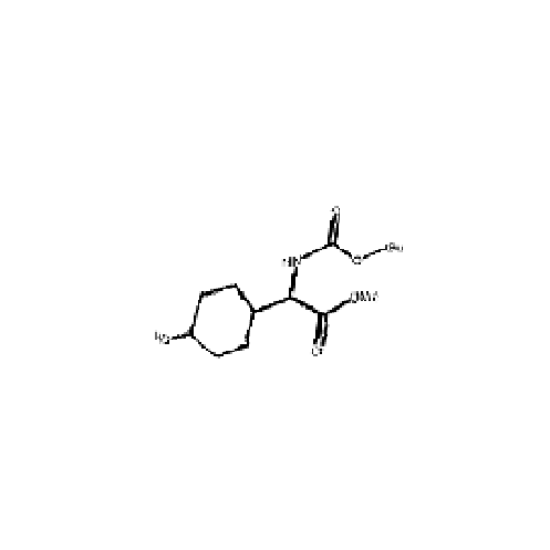 COC(=O)C(NC(=O)OC(C)(C)C)C1CCC(O)CC1